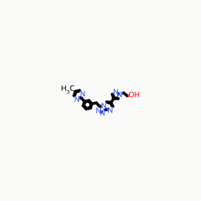 Cc1cnc(-c2cccc(Cc3nnc4ncc(-c5cnn(CCO)c5)cn34)c2)nc1